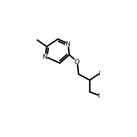 Cc1cnc(OCC(I)CI)cn1